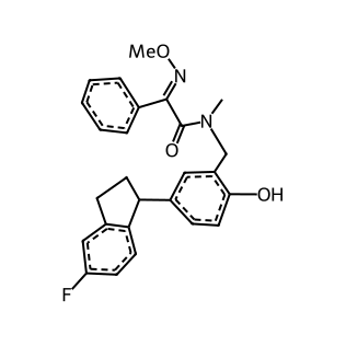 CON=C(C(=O)N(C)Cc1cc(C2CCc3cc(F)ccc32)ccc1O)c1ccccc1